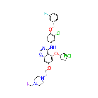 Cl.Fc1cccc(COc2ccc(Nc3ncnc4cc(OCCN5CCN(CI)CC5)cc(OC5CCCC5)c34)cc2Cl)c1